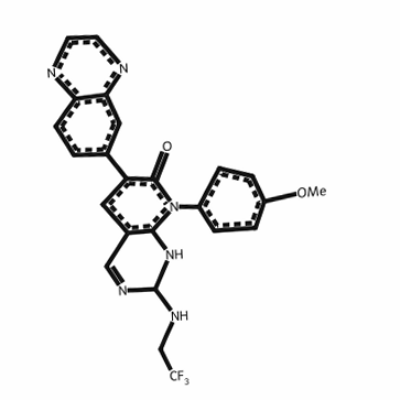 COc1ccc(-n2c3c(cc(-c4ccc5nccnc5c4)c2=O)C=NC(NCC(F)(F)F)N3)cc1